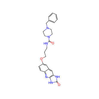 O=C(NCCCOc1ccc2nc3[nH]c(=O)[nH]c3cc2c1)N1CCN(Cc2ccccc2)CC1